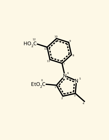 CCOC(=O)c1cc(C)nn1-c1cccc(C(=O)O)c1